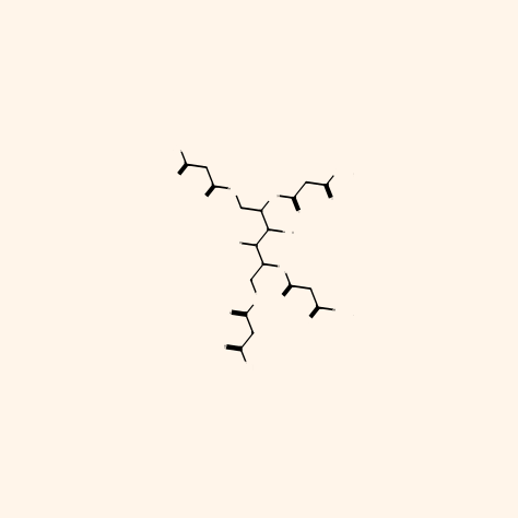 CC(=O)CC(=O)OCC(OC(=O)CC(C)=O)C(O)C(O)C(COC(=O)CC(C)=O)OC(=O)CC(C)=O